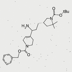 CC(C)(C)OC(=O)N1C[C@@H](CCC(N)C2=CCN(C(=O)OCc3ccccc3)CC2)CC1(C)C